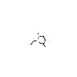 CC1CN(CCO)[C@H](CO)[C@@H](O)[C@@H]1O